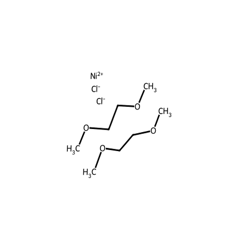 COCCOC.COCCOC.[Cl-].[Cl-].[Ni+2]